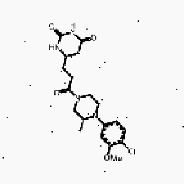 COc1cc(N2CCN(C(=O)CCC3CC(=O)NC(=O)N3)C[C@@H]2C)ccc1Cl